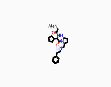 CNCC(=O)NC(C(=O)N1CCCC1CNCCc1ccccc1)C1CCCC1